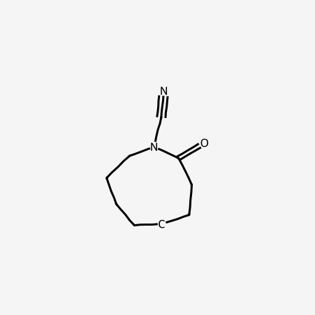 N#CN1CCCCCCCC1=O